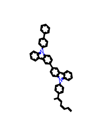 C=C/C=C\C=C(/C)c1ccc(-n2c3ccccc3c3cc(-c4ccc5c(c4)c4ccccc4n5-c4ccc(-c5ccccc5)cc4)ccc32)cc1